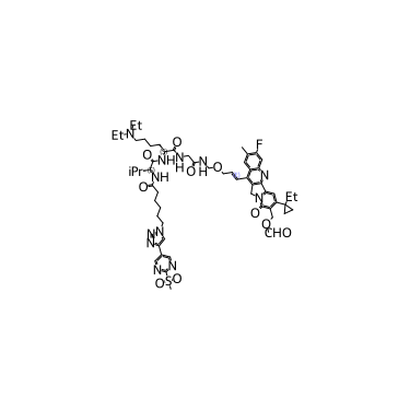 CCN(CC)CCCC[C@H](NC(=O)[C@@H](NC(=O)CCCCCn1cc(-c2cnc(S(C)(=O)=O)nc2)nn1)C(C)C)C(=O)NCC(=O)NCOC/C=C/c1c2c(nc3cc(F)c(C)cc13)-c1cc(C3(CC)CC3)c(COC=O)c(=O)n1C2